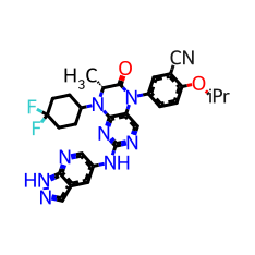 CC(C)Oc1ccc(N2C(=O)[C@@H](C)N(C3CCC(F)(F)CC3)c3nc(Nc4cnc5[nH]ncc5c4)ncc32)cc1C#N